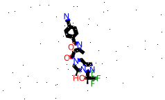 Cc1nc(-c2ccc(C#N)cc2)oc1C(=O)N1Cc2cnc([C@@](C)(O)C(F)(F)F)n2[C@@H](C)C1